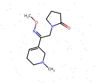 CON=C(CN1CCCC1=O)C1=CCCN(C)C1